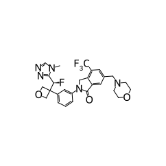 Cn1cnnc1[C@@H](F)C1(c2cccc(N3Cc4c(cc(CN5CCOCC5)cc4C(F)(F)F)C3=O)c2)COC1